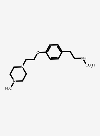 CN1CCN(CCOc2ccc(CCNC(=O)O)cc2)CC1